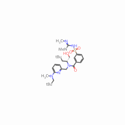 C/N=C(\NC)NS(=O)(=O)c1cccc(C(=O)N(Cc2cccc(N(C)CC(C)(C)C)n2)[C@@H](CO)CC(C)(C)C)c1